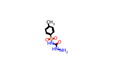 Cc1ccc(S(=O)(=O)NC(=O)NN)cc1